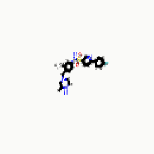 CC1CN(Cc2ccc(NS(=O)(=O)c3ccc(-c4ccc(F)cc4)nc3)cc2C(F)(F)F)CCN1